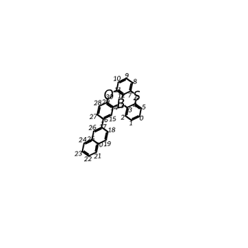 c1ccc2c(c1)Sc1cccc3c1B2c1cc(-c2ccc4ccccc4c2)ccc1O3